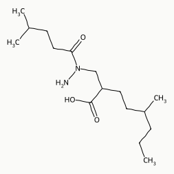 CCCC(C)CCC(CN(N)C(=O)CCC(C)C)C(=O)O